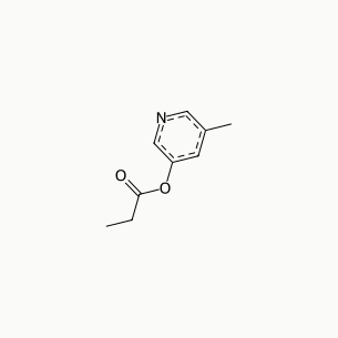 CCC(=O)Oc1cncc(C)c1